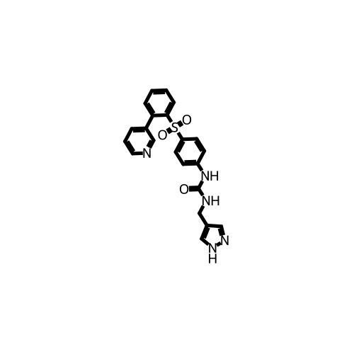 O=C(NCc1cn[nH]c1)Nc1ccc(S(=O)(=O)c2ccccc2-c2cccnc2)cc1